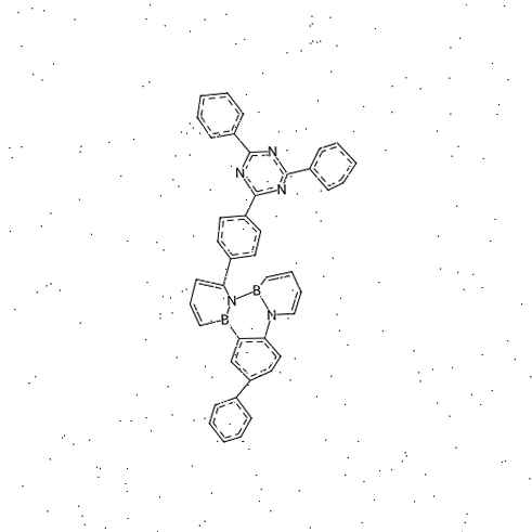 C1=CB2c3cc(-c4ccccc4)ccc3N3C=CC=CB3N2C(c2ccc(-c3nc(-c4ccccc4)nc(-c4ccccc4)n3)cc2)=C1